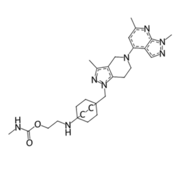 CNC(=O)OCCNC12CCC(Cn3nc(C)c4c3CCN(c3cc(C)nc5c3cnn5C)C4)(CC1)CC2